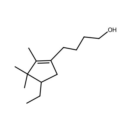 CCC1CC(CCCCO)=C(C)C1(C)C